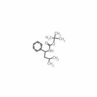 CC(C)CC(NC(=O)OC(C)(C)C)c1ccccc1